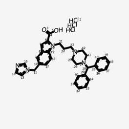 Cl.Cl.Cl.O=C(O)c1cc2cc(Cn3ccnc3)ccc2n1CCCN1CCN(C(c2ccccc2)c2ccccc2)CC1